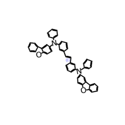 C(=C\c1cccc(N(c2ccccc2)c2ccc3oc4ccccc4c3c2)c1)/c1cccc(N(c2ccccc2)c2ccc3oc4ccccc4c3c2)c1